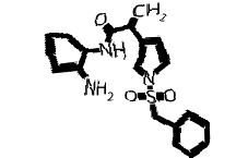 C=C(C(=O)Nc1ccccc1N)c1ccn(S(=O)(=O)Cc2ccccc2)c1